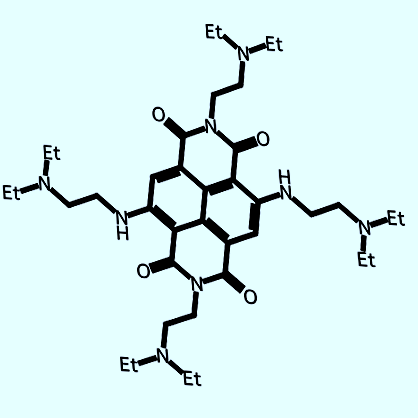 CCN(CC)CCNc1cc2c3c(c(NCCN(CC)CC)cc4c3c1C(=O)N(CCN(CC)CC)C4=O)C(=O)N(CCN(CC)CC)C2=O